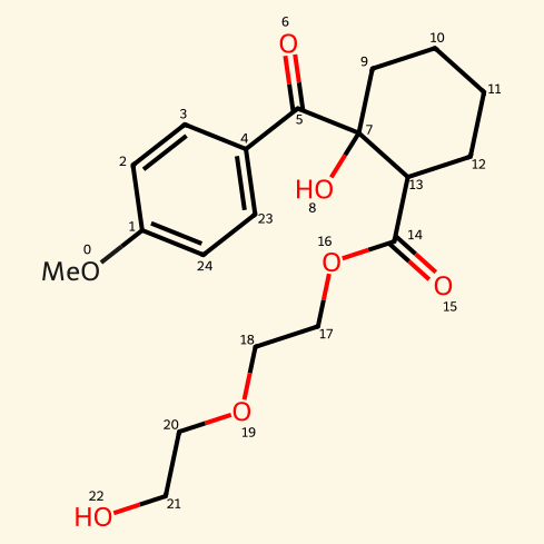 COc1ccc(C(=O)C2(O)CCCCC2C(=O)OCCOCCO)cc1